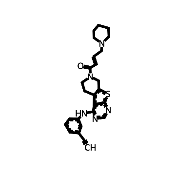 C#Cc1cccc(Nc2ncnc3sc4c(c23)CCN(C(=O)C=CCN2CCCCC2)C4)c1